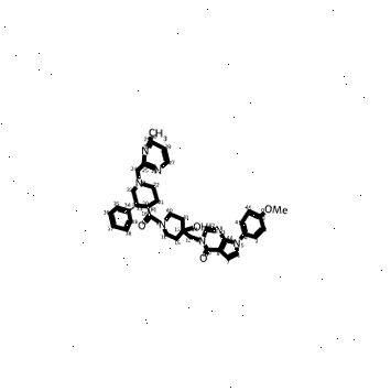 COc1ccc(-n2ccc3c(=O)n(CC4(O)CCN(C(=O)[C@@H]5CCN(Cc6nccc(C)n6)C[C@H]5c5ccccc5)CC4)cnc32)cc1